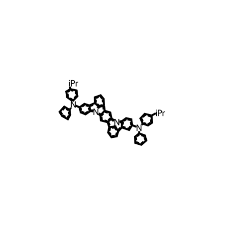 CC(C)c1ccc(N(c2ccccc2)c2ccc3c(c2)c2cccc4c5cc6c(cc5n3c24)c2cccc3c4cc(N(c5ccccc5)c5ccc(C(C)C)cc5)ccc4n6c32)cc1